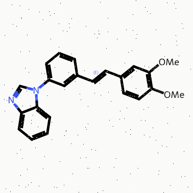 COc1ccc(/C=C/c2cccc(-n3cnc4ccccc43)c2)cc1OC